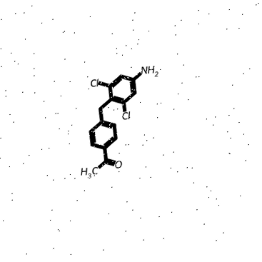 CC(=O)c1ccc(Cc2c(Cl)cc(N)cc2Cl)cc1